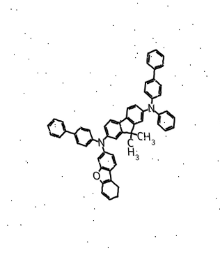 CC1(C)c2cc(N(c3ccccc3)c3ccc(-c4ccccc4)cc3)ccc2-c2ccc(N(c3ccc(-c4ccccc4)cc3)c3ccc4c5c(oc4c3)C=CCC5)cc21